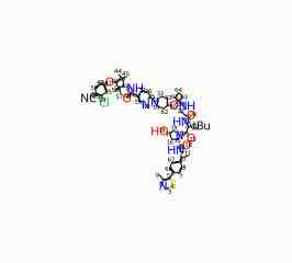 Cc1ncsc1-c1ccc([C@H](C)NC(=O)[C@@H]2C[C@@H](O)CN2C(=O)[C@@H](NC(=O)CNC2(OC3CCN(c4ccc(C(=O)N[C@H]5C(C)(C)[C@H](Oc6ccc(C#N)c(Cl)c6)C5(C)C)cn4)CC3)CCC2)C(C)(C)C)cc1